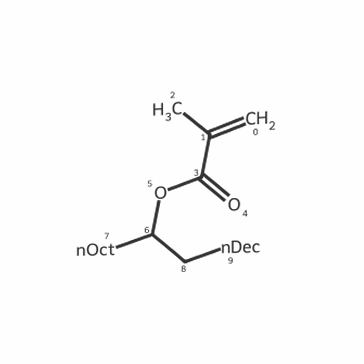 C=C(C)C(=O)OC(CCCCCCCC)CCCCCCCCCCC